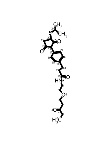 CCC(=O)CCOCCNC(=O)CCc1ccc(C2C(=O)CC(SC(C)C)C2=O)cc1